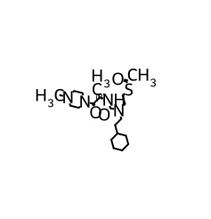 CC(=O)SCCN(CCC1CCCCC1)C(=O)N[C@H](C)C(=O)N1CCN(C)CC1